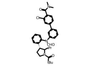 CC(C)C1[C@@H](c2ccccc2N(C=O)c2cccc(-c3ccc(C(=O)N(C)C)c(Cl)c3)c2)CCN1C(=O)C(C)(C)C